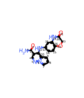 NC(=O)c1cnn2cccc2c1Nc1ccc2c(c1)NC(=O)CO2